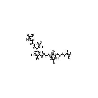 CC(=O)NCCCCC(NC(C)=O)C(=O)NCCCCC(NC(=O)C(CCCCNC(C)=O)NC(C)=O)C(=O)O